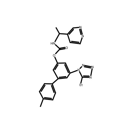 CCc1nnnn1-c1cc(OC(=O)NC(C)c2ccnnc2)cc(-c2ccc(C)cc2)c1